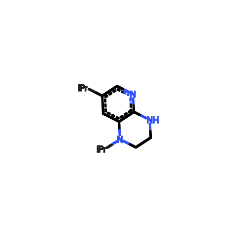 CC(C)c1cnc2c(c1)N(C(C)C)CCN2